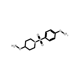 NOC1CCN(S(=O)(=O)c2ccc(OC(F)(F)F)cc2)CC1